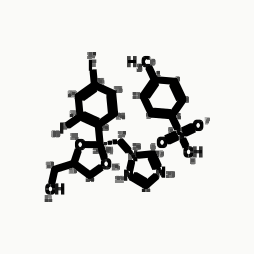 Cc1ccc(S(=O)(=O)O)cc1.OCC1CO[C@](Cn2cncn2)(c2ccc(F)cc2F)O1